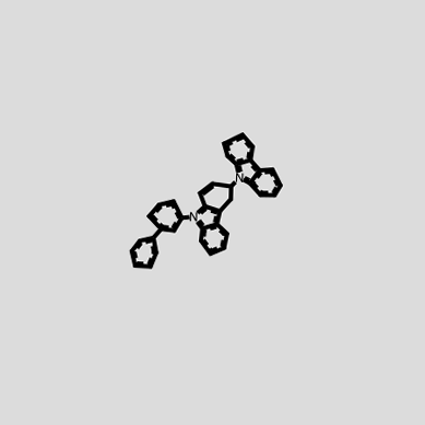 C1=CC(n2c3ccccc3c3ccccc32)Cc2c1n(-c1cccc(-c3ccccc3)c1)c1ccccc21